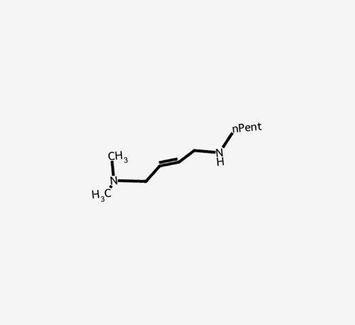 CCCCCNC/C=C/CN(C)C